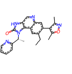 CCc1cc2c(cc1-c1c(C)noc1C)ncc1[nH]c(=O)n([C@H](C)c3ccccn3)c12